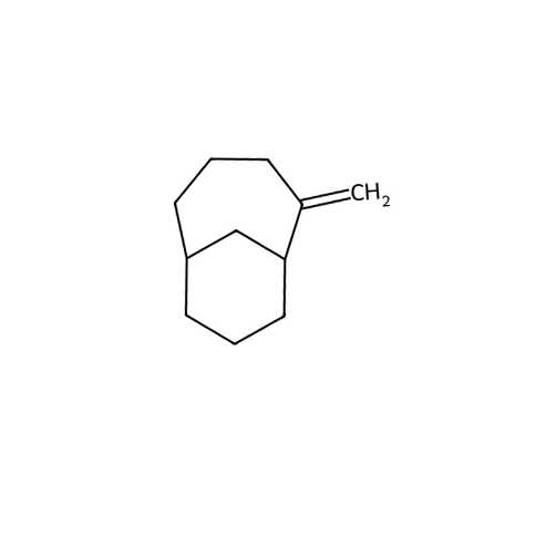 C=C1CCCC2CCCC1C2